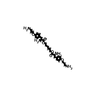 NCCCOc1ccc(CC(N)C(=O)OCCCCCCOC(=O)C(N)Cc2ccc(OCCCN)cc2)cc1